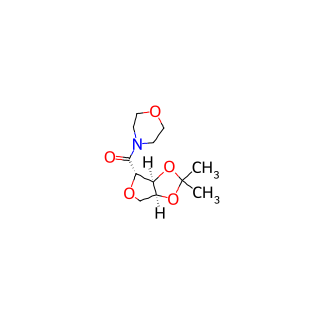 CC1(C)O[C@H]2[C@H](CO[C@@H]2C(=O)N2CCOCC2)O1